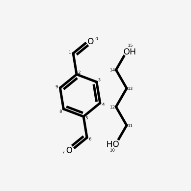 O=Cc1ccc(C=O)cc1.OCCCCO